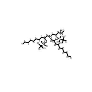 CCCCCCCCC(CN(CCCNC)CC(CCCCCCCC)O[Si](C)(C)C(C)(C)C)O[Si](C)(C)C(C)(C)C